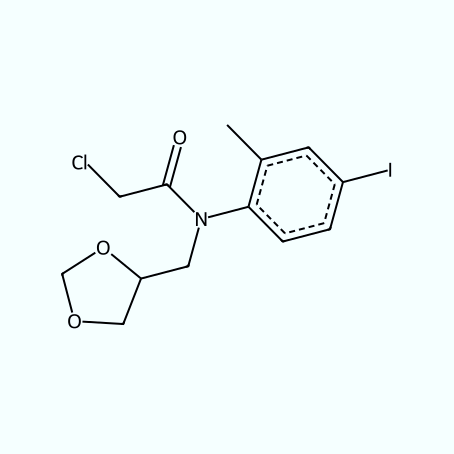 Cc1cc(I)ccc1N(CC1COCO1)C(=O)CCl